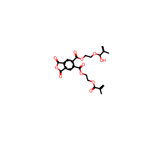 C=C(C)C(=O)OCCOC(=O)c1cc2c(cc1C(=O)OCCOC(O)C(=C)C)C(=O)OC2=O